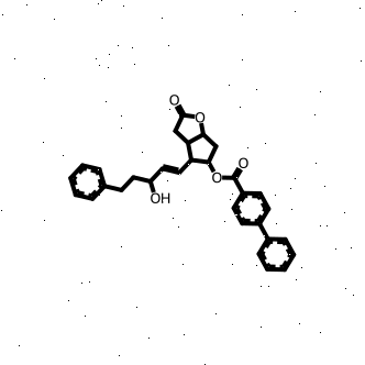 O=C1CC2C(CC(OC(=O)c3ccc(-c4ccccc4)cc3)C2C=CC(O)CCc2ccccc2)O1